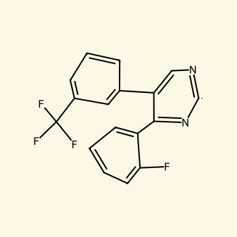 Fc1ccccc1-c1n[c]ncc1-c1cccc(C(F)(F)F)c1